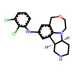 Clc1cccc(Nc2cc3c4c(c2)[C@@H]2CNCC[C@@H]2N4CCOC3)c1Cl